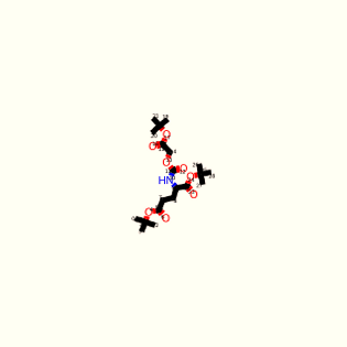 CC(C)(C)OC(=O)CCC(NC(=O)OCC(=O)OC(C)(C)C)C(=O)OC(C)(C)C